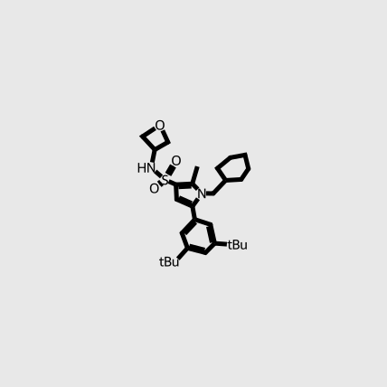 Cc1c(S(=O)(=O)NC2COC2)cc(-c2cc(C(C)(C)C)cc(C(C)(C)C)c2)n1CC1CCCCC1